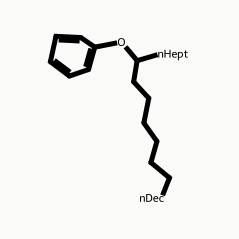 CCCCCCCCCCCCCCCCC(CCCCCCC)Oc1ccccc1